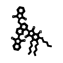 CCCCSc1c(Cl)c2c(c(SCCCC)c1SCCCC)C(=O)N(c1ccc(CN3C(=O)c4ccccc4C3=O)c3ccc(C4C(=O)c5ccccc5C4=O)nc13)C2=O